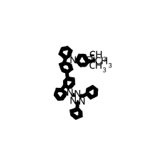 C[Si](C)(C)c1ccc(-n2c3ccccc3c3ccc(-c4ccc5c(c4)c4ccccc4n5-c4nc(-c5ccccc5)nc(-c5ccccc5)n4)cc32)cc1